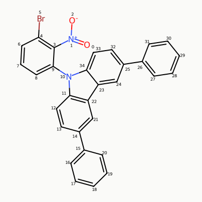 O=[N+]([O-])c1c(Br)cccc1-n1c2ccc(-c3ccccc3)cc2c2cc(-c3ccccc3)ccc21